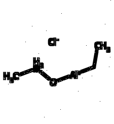 C[CH2][Al+][O][SiH2]C.[Cl-]